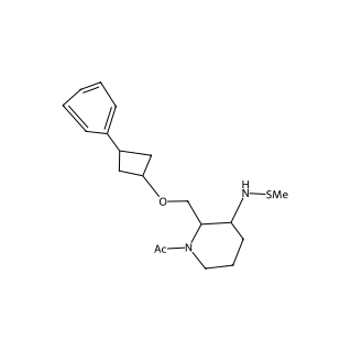 CSNC1CCCN(C(C)=O)C1COC1CC(c2ccccc2)C1